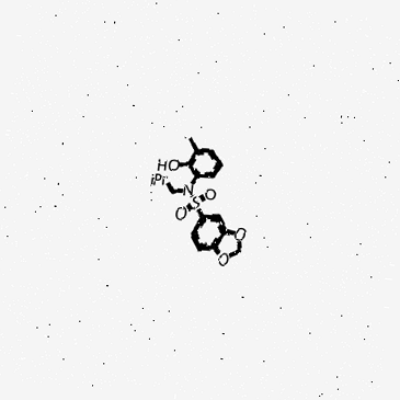 [CH2]c1cccc(N(CC(C)C)S(=O)(=O)c2ccc3c(c2)OCO3)c1O